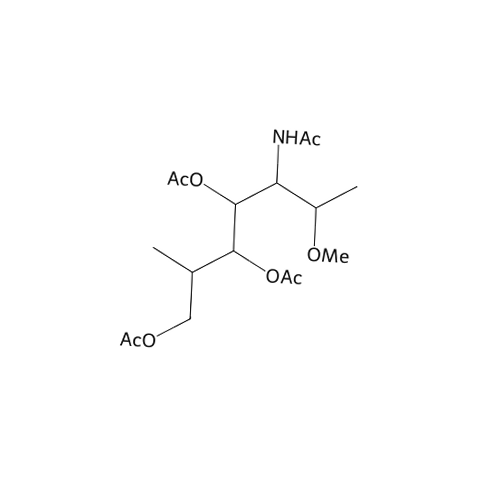 COC(C)C(NC(C)=O)C(OC(C)=O)C(OC(C)=O)C(C)COC(C)=O